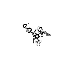 CCNC(=O)c1cc(OC)c2c(nc(-c3ccc(N4CCC[C@@H]4C)nc3)n2C[C@@H]2CN(C(=O)OC(C)(C)C)CCO2)c1F